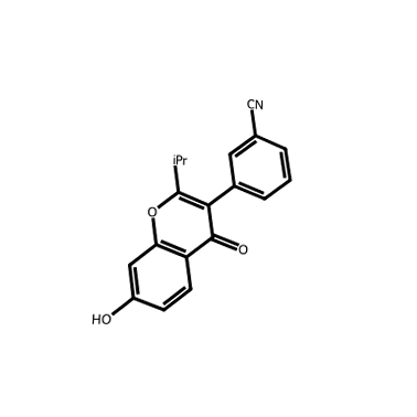 CC(C)c1oc2cc(O)ccc2c(=O)c1-c1cccc(C#N)c1